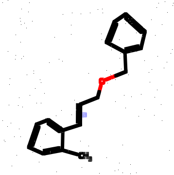 Cc1ccccc1/C=C/COCc1ccccc1